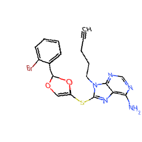 C#CCCCn1c(SC2=COC(c3ccccc3Br)O2)nc2c(N)ncnc21